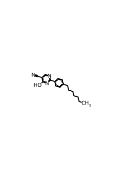 CCCCCCCc1ccc(-c2ncc(C#N)c(O)n2)cc1